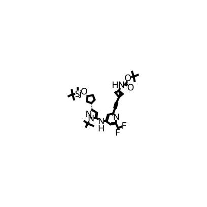 CC(C)(C)OC(=O)NC12CC(C#Cc3cc(Nc4cc([C@H]5CC[C@@H](O[Si](C)(C)C(C)(C)C)C5)nn4C(C)(C)C)cc(C(F)F)n3)(C1)C2